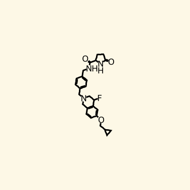 O=C1CCC(C(=O)NCc2ccc(CN3Cc4ccc(OCC5CC5)cc4C(F)C3)cc2)N1